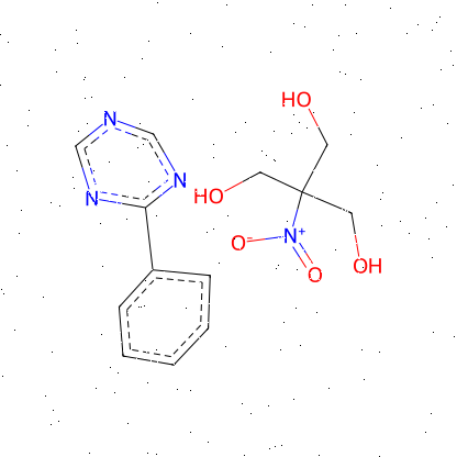 O=[N+]([O-])C(CO)(CO)CO.c1ccc(-c2ncncn2)cc1